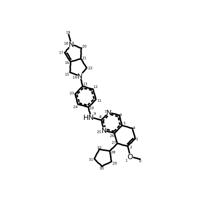 COC1=CCc2cnc(Nc3ccc(N4CC5=CN(C)CC5C4)cc3)nc2C1C1CCCC1